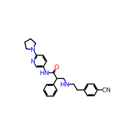 N#Cc1ccc(CCNCC(C(=O)Nc2ccc(N3CCCC3)nc2)c2ccccc2)cc1